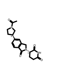 CC(=O)N1CC[C@H](c2ccc3c(c2)CN([C@H]2CCC(=O)NC2=O)C3=O)C1